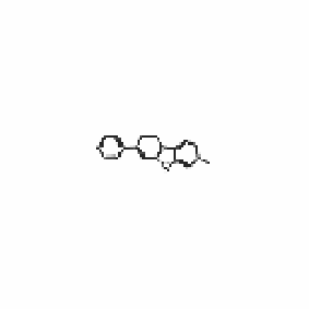 CC1C=c2sc3cc(-c4ccccc4)ccc3c2=CC1